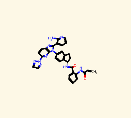 C=CC(=O)Nc1ccccc1C(=O)N[C@H]1CCc2cc(-n3c(-c4cccnc4N)nc4ccc(-n5nccn5)nc43)ccc21